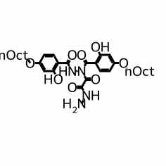 CCCCCCCCOc1ccc(C(=O)NN(C(=O)C(=O)NN)C(=O)c2ccc(OCCCCCCCC)cc2O)c(O)c1